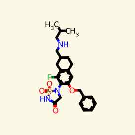 CC(C)CNCC1CCc2cc(OCc3ccccc3)c(N3CC(=O)NS3(=O)=O)c(F)c2C1